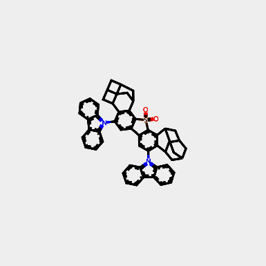 O=S1(=O)c2c(cc(-n3c4ccccc4c4ccccc43)c3c2C2CC4CC(CC3C4)C2)-c2cc(-n3c4ccccc4c4ccccc43)c3c(c21)C1CC2CC4CC3C24C1